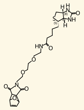 O=C(CCCC[C@@H]1SC[C@@H]2NC(=O)N[C@@H]21)NCCOCCOCCN1C(=O)C2C3C=CC(O3)C2C1=O